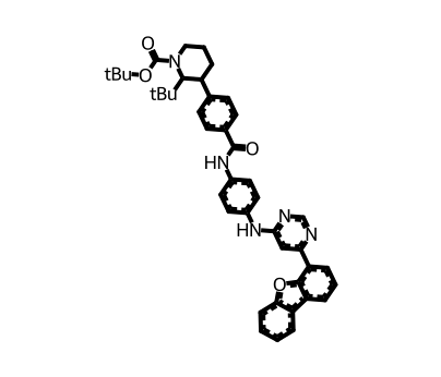 CC(C)(C)OC(=O)N1CCCC(c2ccc(C(=O)Nc3ccc(Nc4cc(-c5cccc6c5oc5ccccc56)ncn4)cc3)cc2)C1C(C)(C)C